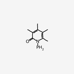 Cc1c(C)c(C)n(P)c(=O)c1C